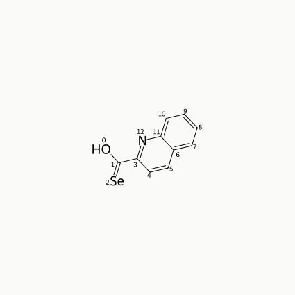 OC(=[Se])c1ccc2ccccc2n1